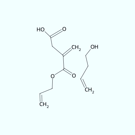 C=CCCO.C=CCOC(=O)C(=C)CC(=O)O